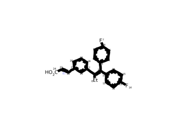 CCC(=C(c1ccc(F)cc1)c1ccc(F)cc1)c1cccc(/C=C/C(=O)O)c1